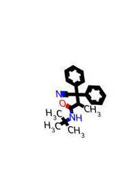 CC(C(=O)NC(C)(C)C)C(C#N)(c1ccccc1)c1ccccc1